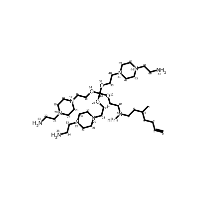 C=CCCC(C)CCN(CCC)CCOC(OCCN1CCN(CCN)CC1)(OCCN1CCN(CCN)CC1)OCCN1CCN(CCN)CC1